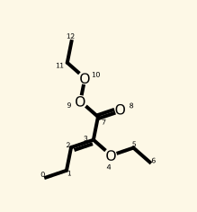 CC/C=C(\OCC)C(=O)OOCC